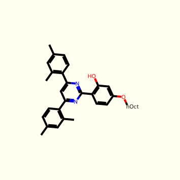 CCCCCCCCOc1ccc(-c2nc(-c3ccc(C)cc3C)cc(-c3ccc(C)cc3C)n2)c(O)c1